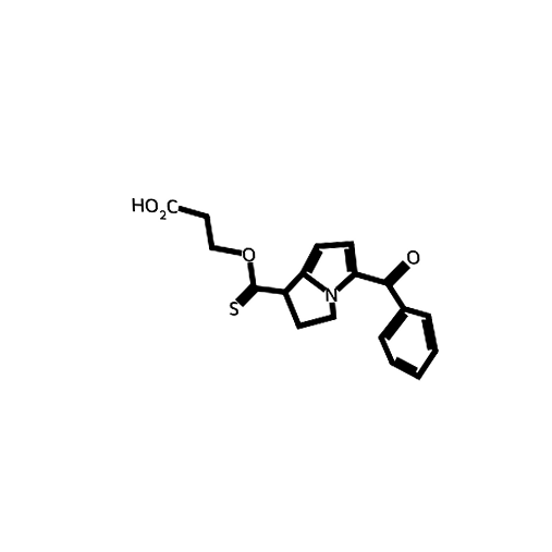 O=C(O)CCOC(=S)C1CCn2c(C(=O)c3ccccc3)ccc21